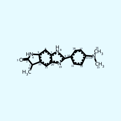 CC1C(=O)Nc2cc3[nH]c(-c4ccc(N(C)C)cc4)nc3cc21